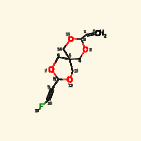 C=CC1OCC2(COC(C#CF)OC2)CO1